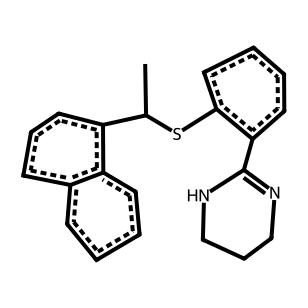 CC(Sc1ccccc1C1=NCCCN1)c1cccc2ccccc12